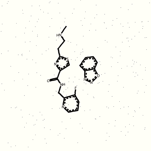 CNCCc1nc(C(=O)NCc2ncccc2F)cs1.c1ccc2onnc2c1